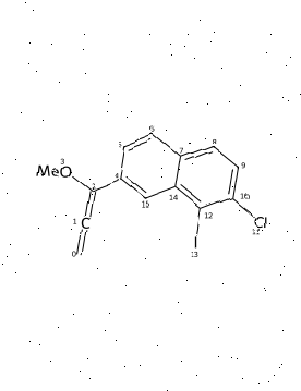 C=C=C(OC)c1ccc2ccc(Cl)c(I)c2c1